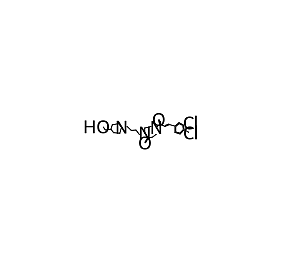 O=C(C=Cc1ccc(Cl)c(Cl)c1)N1CCC(=O)N(CCCCN2CCC(CO)CC2)CC1